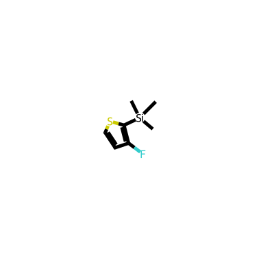 C[Si](C)(C)c1sccc1F